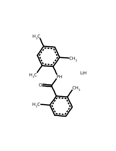 Cc1cc(C)c(PC(=O)c2c(C)cccc2C)c(C)c1.[LiH]